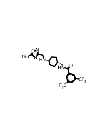 CC(C)(C)c1nc(CN[C@H]2CC[C@@H](CNC(=O)c3cc(C(F)(F)F)cc(C(F)(F)F)c3)CC2)no1